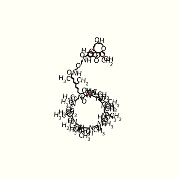 C=C/C=C1\C(=C/CO)OC/C=C(O)\C=C/C(=C)C12OC(=O)c1cc(C(=O)NCCOCCNC(=O)/C(C)=C/C=C(C=C)/C=C/CC3[C@@H](O)[C@H]4C(=O)N3[C@@H](CC)C(=O)N(C)CC(=O)N(C)C(CC(C)C)C(=O)NC(C(C)C)C(=O)N(C)[C@@H](CC(C)C)C(=O)NC(C)C(=O)N[C@H](C)C(=O)N(C)C(CC(C)C)[C@H](O)N(C)C(CC(C)C)C(=O)N(C)[C@@H](C(C)C)C(=O)N4C)ccc12